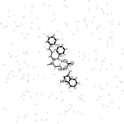 CN(CCN[C@@H](Cc1c[nH]c2ccccc12)C(=O)O)N(CCCc1ccccc1)Cc1ccccc1